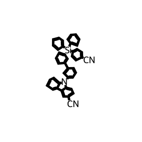 N#Cc1ccc([Si](c2ccccc2)(c2ccccc2)c2cccc(-c3cccc(-n4c5ccccc5c5cc(C#N)ccc54)c3)c2)cc1